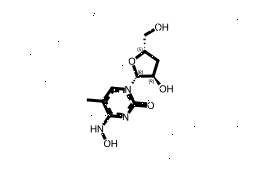 Cc1cn([C@@H]2O[C@H](CO)C[C@H]2O)c(=O)nc1NO